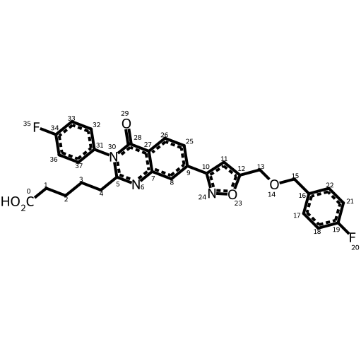 O=C(O)CCCCc1nc2cc(-c3cc(COCc4ccc(F)cc4)on3)ccc2c(=O)n1-c1ccc(F)cc1